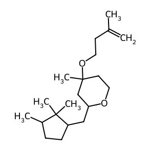 C=C(C)CCOC1(C)CCOC(CC2CCC(C)C2(C)C)C1